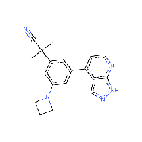 CC(C)(C#N)c1cc(-c2ccnc3[nH]ncc23)cc(N2CCC2)c1